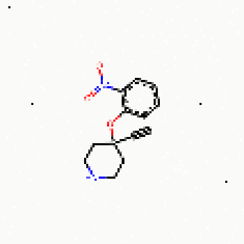 C#CC1(Oc2ccccc2[N+](=O)[O-])CCNCC1